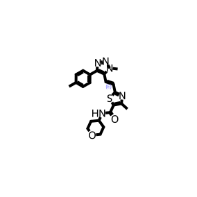 Cc1ccc(-c2nnn(C)c2/C=C/c2nc(C)c(C(=O)NC3CCOCC3)s2)cc1